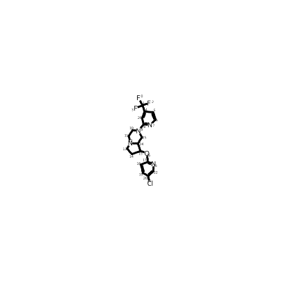 FC(F)(F)c1ccnc(N2CCN3CCC(Oc4ccc(Cl)cn4)C3C2)c1